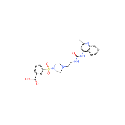 Cc1cc(NC(=O)NCCN2CCN(S(=O)(=O)c3cccc(C(=O)O)c3)CC2)c2ccccc2n1